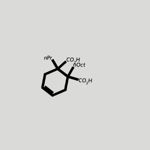 CCCCCCCCC1(C(=O)O)CC=CCC1(CCC)C(=O)O